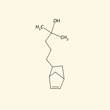 CC(C)(O)CCCC1CC2C=CC1C2